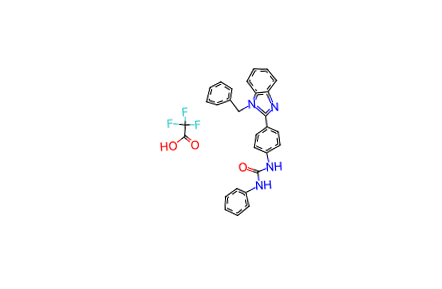 O=C(Nc1ccccc1)Nc1ccc(-c2nc3ccccc3n2Cc2ccccc2)cc1.O=C(O)C(F)(F)F